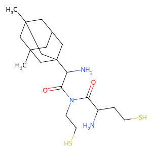 CC12CC3CC(C)(C1)CC(C(N)C(=O)N(CCS)C(=O)C(N)CCS)(C3)C2